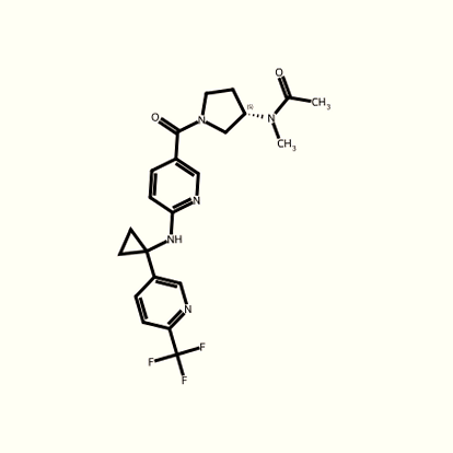 CC(=O)N(C)[C@H]1CCN(C(=O)c2ccc(NC3(c4ccc(C(F)(F)F)nc4)CC3)nc2)C1